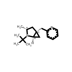 C[C@@H]1C[C@@]2(Cc3ccccn3)C[C@H]2N1C(C)(C)C